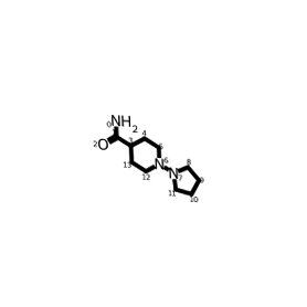 NC(=O)C1CCN(N2CCCC2)CC1